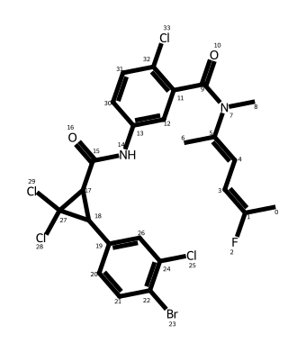 C/C(F)=C\C=C(/C)N(C)C(=O)c1cc(NC(=O)C2C(c3ccc(Br)c(Cl)c3)C2(Cl)Cl)ccc1Cl